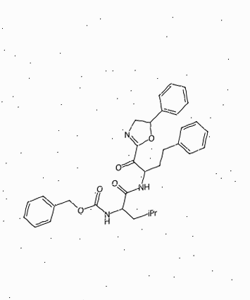 CC(C)CC(NC(=O)OCc1ccccc1)C(=O)NC(CCc1ccccc1)C(=O)C1=NCC(c2ccccc2)O1